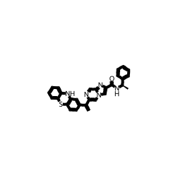 C=C(c1ccc2c(c1)Nc1ccccc1S2)c1cn2cc(C(=O)N[C@H](C)c3ccccc3)nc2cn1